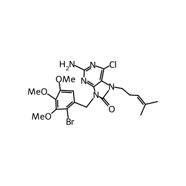 COc1cc(Cn2c(=O)n(CCC=C(C)C)c3c(Cl)nc(N)nc32)c(Br)c(OC)c1OC